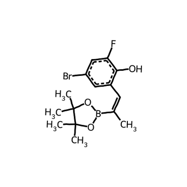 C/C(=C/c1cc(Br)cc(F)c1O)B1OC(C)(C)C(C)(C)O1